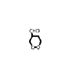 O=CC1CCOOC1